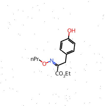 CCCON=C(Cc1ccc(O)cc1)C(=O)OCC